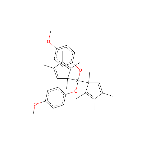 COc1ccc([O][Zr]([O]c2ccc(OC)cc2)([C]2(C)C=C(C)C(C)=C2C)[C]2(C)C=C(C)C(C)=C2C)cc1